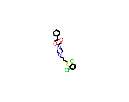 Clc1cccc(Cl)c1SCCCCN1CCN(C2=COC(C3=CC=CCC3)=CO2)CC1